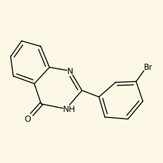 O=c1[nH]c(-c2cccc(Br)c2)nc2ccccc12